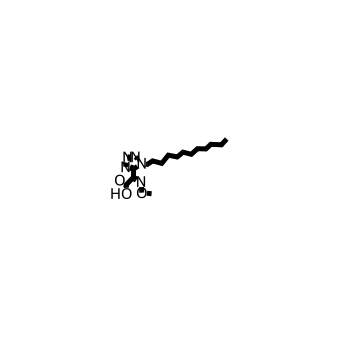 CCCCCCCCCCCCn1nnnc1C(=NOC)C(=O)O